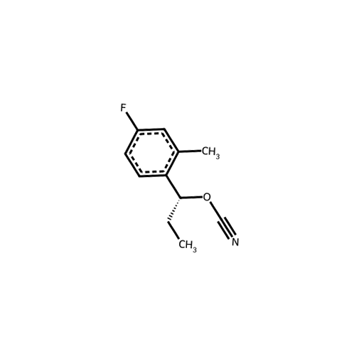 CC[C@@H](OC#N)c1ccc(F)cc1C